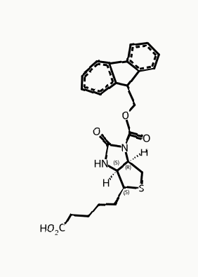 O=C(O)CCCC[C@@H]1SC[C@H]2[C@@H]1NC(=O)N2C(=O)OCC1c2ccccc2-c2ccccc21